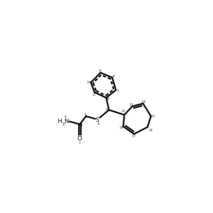 NC(=O)CSC(c1ccccc1)C1C=CCCC=C1